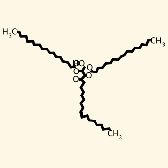 CCCCCCCC/C=C\CCCCCCCC(=O)C(OC(=O)CCCCCCCCCCCCCCCCC)C(CO)OC(=O)CCCCCCCCCCCCCCCCC